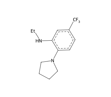 CCNc1cc(C(F)(F)F)ccc1N1CCCC1